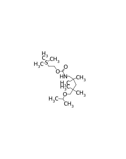 CC(C)OCC(C)(C)CC(C)(C)CNC(=O)OCCS(C)(C)C